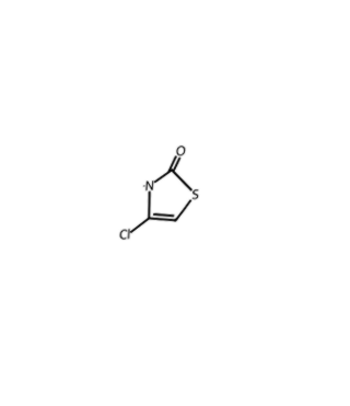 O=C1[N]C(Cl)=CS1